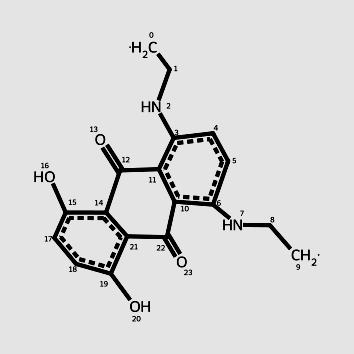 [CH2]CNc1ccc(NC[CH2])c2c1C(=O)c1c(O)ccc(O)c1C2=O